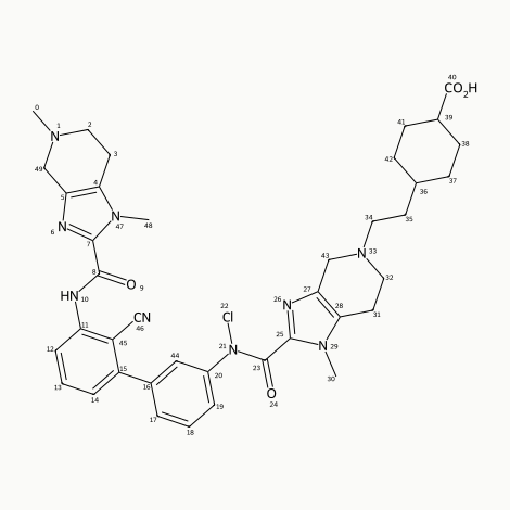 CN1CCc2c(nc(C(=O)Nc3cccc(-c4cccc(N(Cl)C(=O)c5nc6c(n5C)CCN(CCC5CCC(C(=O)O)CC5)C6)c4)c3C#N)n2C)C1